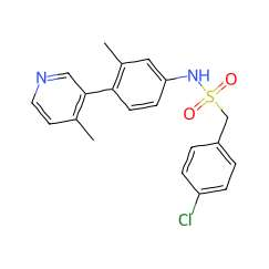 Cc1cc(NS(=O)(=O)Cc2ccc(Cl)cc2)ccc1-c1cnccc1C